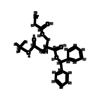 CC(C)(C)OC(=O)NC(COC(=O)CBr)C(=O)OC(c1ccccc1)c1ccccc1